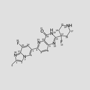 Cc1cn2cc(-c3ccc4nc(C5(F)CCNCC5)[nH]c(=O)c4n3)cc(F)c2n1